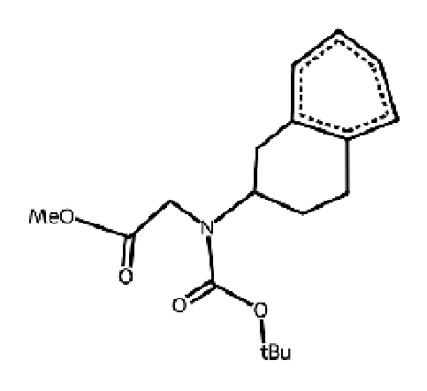 COC(=O)CN(C(=O)OC(C)(C)C)C1CCc2ccccc2C1